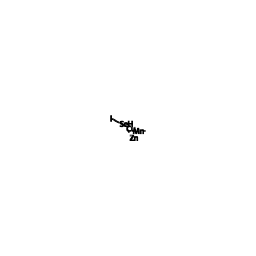 [Cu].[Mn].[SeH]I.[Zn]